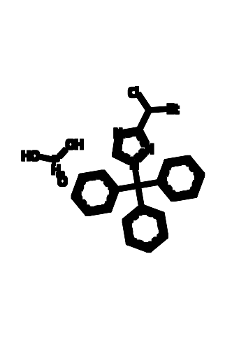 CCC(Cl)c1ncn(C(c2ccccc2)(c2ccccc2)c2ccccc2)n1.O=[PH](O)O